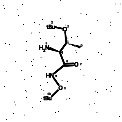 C[C@@H](OC(C)(C)C)[C@H](N)C(=O)NOC(C)(C)C